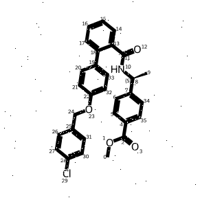 COC(=O)c1ccc([C@H](C)NC(=O)c2ccccc2-c2ccc(OCc3ccc(Cl)cc3)cc2)cc1